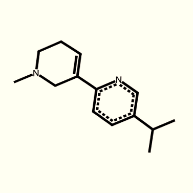 CC(C)c1ccc(C2=CCCN(C)C2)nc1